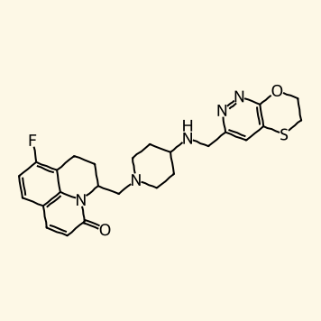 O=c1ccc2ccc(F)c3c2n1C(CN1CCC(NCc2cc4c(nn2)OCCS4)CC1)CC3